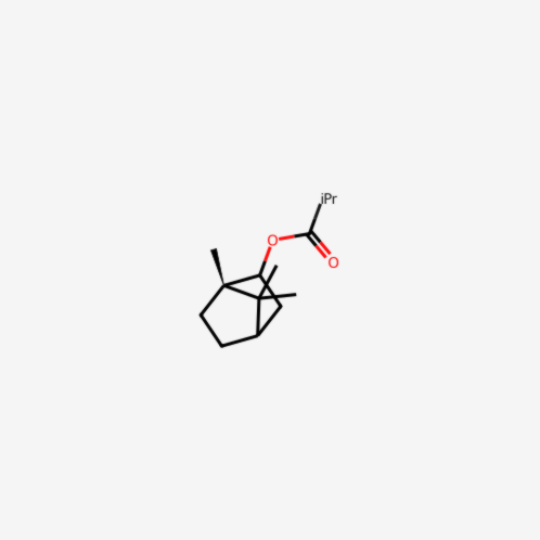 CC(C)C(=O)OC1CC2CC[C@@]1(C)C2(C)C